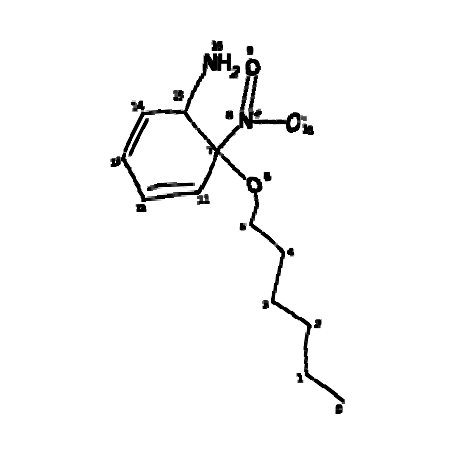 CCCCCCOC1([N+](=O)[O-])C=CC=CC1N